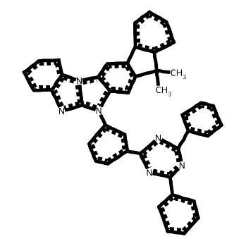 CC1(C)c2ccccc2-c2cc3c(cc21)n(-c1cccc(-c2nc(-c4ccccc4)nc(-c4ccccc4)n2)c1)c1nc2ccccc2n31